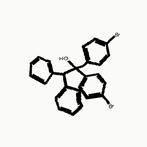 OC(c1ccc(Br)cc1)(c1ccc(Br)cc1)C(c1ccccc1)c1ccccc1